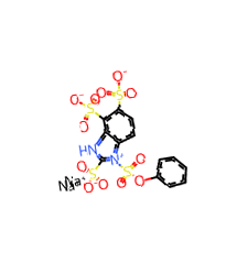 O=S(=O)([O-])c1ccc2c([nH]c(S(=O)(=O)[O-])[n+]2S(=O)(=O)Oc2ccccc2)c1S(=O)(=O)[O-].[Na+].[Na+]